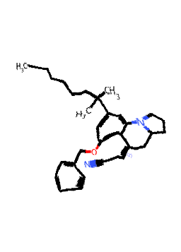 CCCCCCC(C)(C)c1cc(OCc2ccccc2)c2c(c1)N1CCCC1C/C2=C/C#N